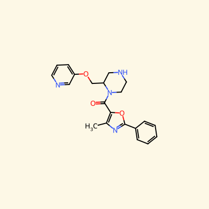 Cc1nc(-c2ccccc2)oc1C(=O)N1CCNCC1COc1cccnc1